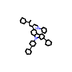 C=C(/C=C(\C=C/Nc1ccccc1)c1ccc2c(c1)c1ccc(-c3ccccc3)cc1n2-c1ccc(-c2ccccc2)cc1)c1ccccc1